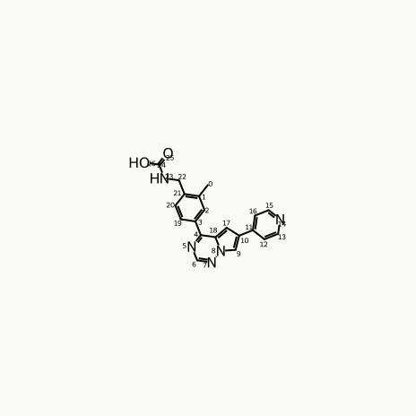 Cc1cc(-c2ncnn3cc(-c4ccncc4)cc23)ccc1CNC(=O)O